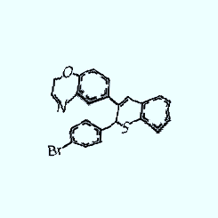 Brc1ccc(C2Sc3ccccc3C=C2c2ccc3c(c2)N=CCO3)cc1